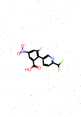 O=C(O)c1cc([N+](=O)[O-])cc(F)c1-c1ccc(C(F)F)nc1